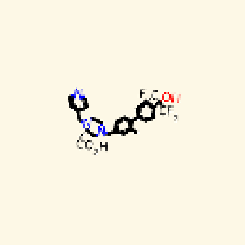 Cc1cc(CN2CCN(Cc3ccncc3)[C@@H](CC(=O)O)C2)ccc1-c1ccc(C(O)(C(F)(F)F)C(F)(F)F)cc1